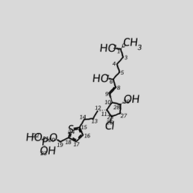 C[C@@H](O)CCC[C@H](O)/C=C/[C@@H]1[C@@H](CCCc2ccc(COP(O)O)s2)[C@H](Cl)C[C@H]1O